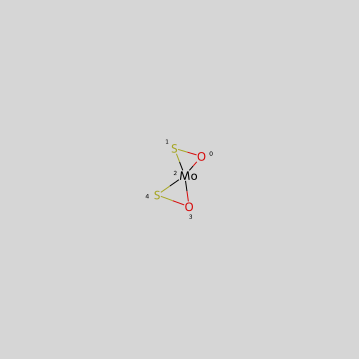 [O]1[S][Mo]12[O][S]2